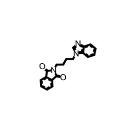 O=C1c2ccccc2C(=O)N1CCCCn1cnc2ccccc21